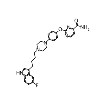 NC(=O)c1ccnc(Oc2ccc(N3CCN(CCCCc4c[nH]c5ccc(F)cc45)CC3)cc2)n1